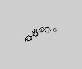 c1cc(-c2ccc(N3CCC4(CCN(C5CCC5)CC4)C3)nn2)ccn1